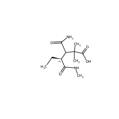 CC[C@H](C(=O)NC)C(C(N)=O)C(C)(C)C(=O)O